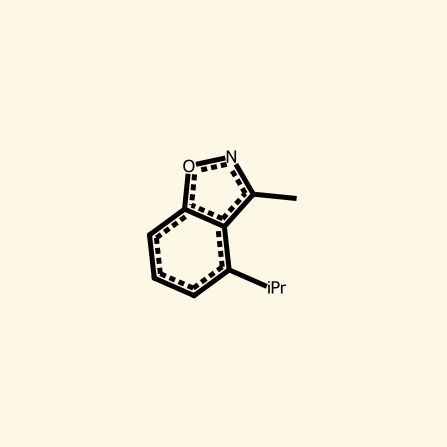 Cc1noc2cccc(C(C)C)c12